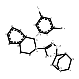 Fc1cc(F)cc([C@H]2c3ccccc3CCN2C2=NO[C@]3(C2)CN2CCC3CC2)c1